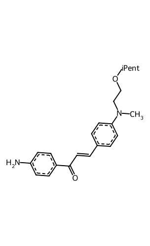 CCCC(C)OCCN(C)c1ccc(/C=C/C(=O)c2ccc(N)cc2)cc1